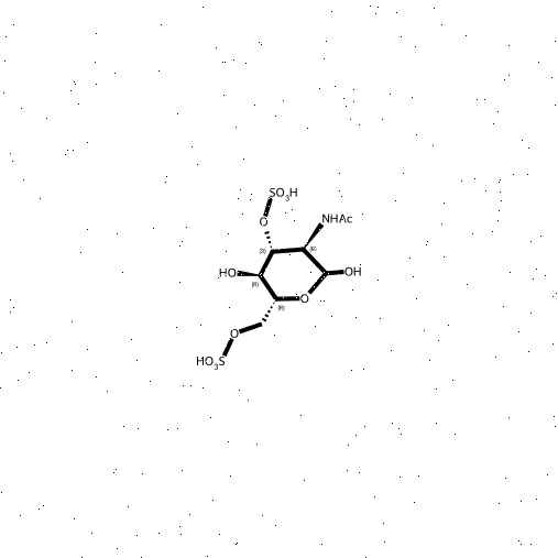 CC(=O)N[C@H]1C(O)O[C@H](COS(=O)(=O)O)[C@@H](O)[C@@H]1OS(=O)(=O)O